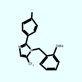 COc1ccccc1Cn1c(C(F)(F)F)cnc1-c1ccc(C)cc1